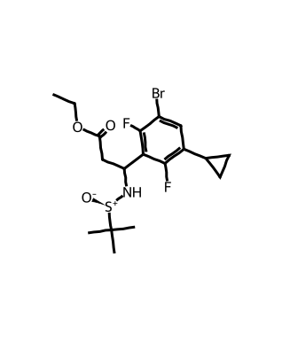 CCOC(=O)CC(N[S@+]([O-])C(C)(C)C)c1c(F)c(Br)cc(C2CC2)c1F